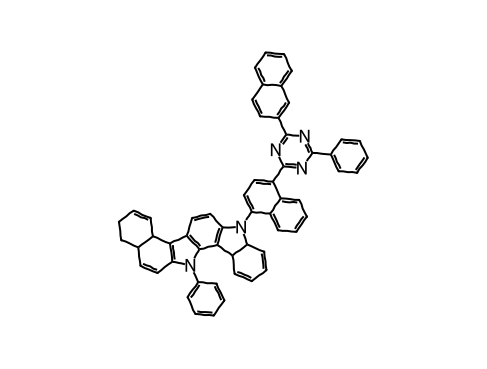 C1=CC2c3c(ccc4c5c(n(-c6ccccc6)c34)C=CC3CCC=CC53)N(c3ccc(-c4nc(-c5ccccc5)nc(-c5ccc6ccccc6c5)n4)c4ccccc34)C2C=C1